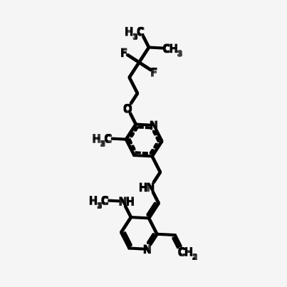 C=CC1=NC=CC(NC)/C1=C\NCc1cnc(OCCC(F)(F)C(C)C)c(C)c1